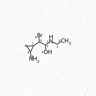 CCNC(O)C(Br)C1CC1N